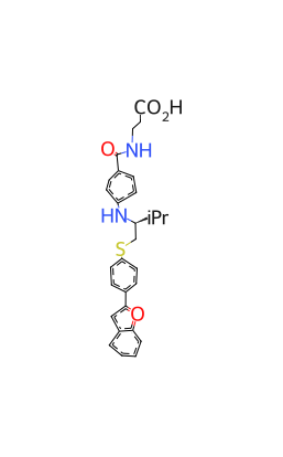 CC(C)[C@@H](CSc1ccc(-c2cc3ccccc3o2)cc1)Nc1ccc(C(=O)NCCC(=O)O)cc1